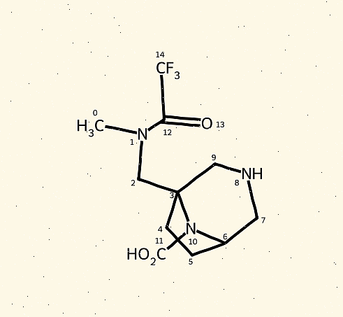 CN(CC12CCC(CNC1)N2C(=O)O)C(=O)C(F)(F)F